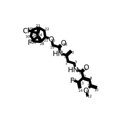 C=C(CCNC(=O)/C(=C/C(=C)OC)C(=C)F)NC(=O)COC1CC2=C(Cl)C(F)=C1CCC2